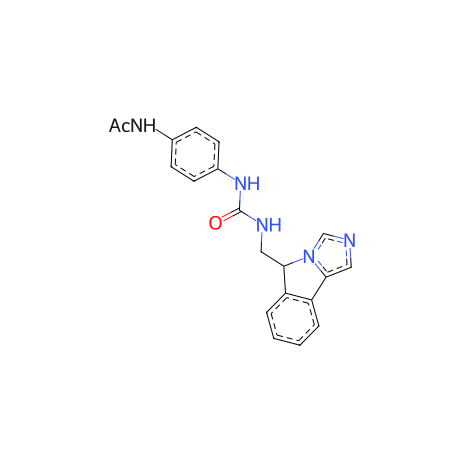 CC(=O)Nc1ccc(NC(=O)NCC2c3ccccc3-c3cncn32)cc1